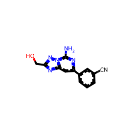 N#Cc1cccc(-c2cc3nc(CO)nn3c(N)n2)c1